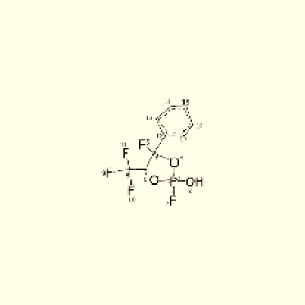 O=P(O)(F)OC(F)(CC(F)(F)F)c1ccccc1